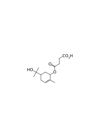 CC1=CCC(C(C)(C)O)CC1OC(=O)CCC(=O)O